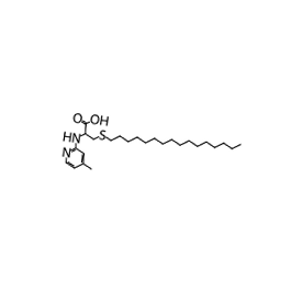 CCCCCCCCCCCCCCCCSCC(Nc1cc(C)ccn1)C(=O)O